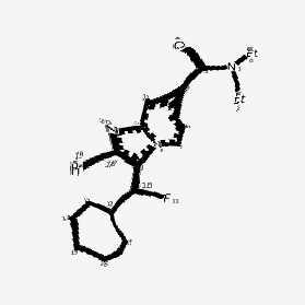 CCN(CC)C(=O)c1ccn2c(C(F)C3CCCCC3)c(C(C)C)nc2c1